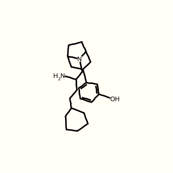 NC(CCC1CCCCC1)CN1C2CCC1CC(c1cccc(O)c1)C2